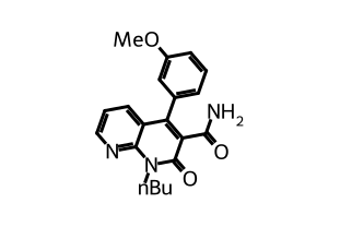 CCCCn1c(=O)c(C(N)=O)c(-c2cccc(OC)c2)c2cccnc21